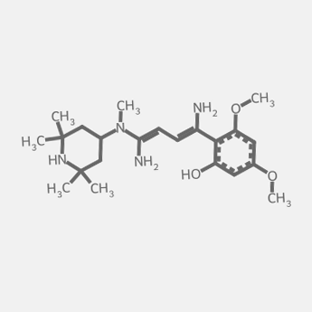 COc1cc(O)c(/C(N)=C/C=C(\N)N(C)C2CC(C)(C)NC(C)(C)C2)c(OC)c1